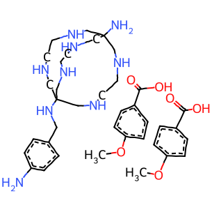 COc1ccc(C(=O)O)cc1.COc1ccc(C(=O)O)cc1.Nc1ccc(CNC23CNCCNCC(N)(CNCCNC2)CNCCNC3)cc1